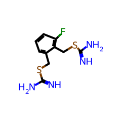 N=C(N)SCc1cccc(F)c1CSC(=N)N